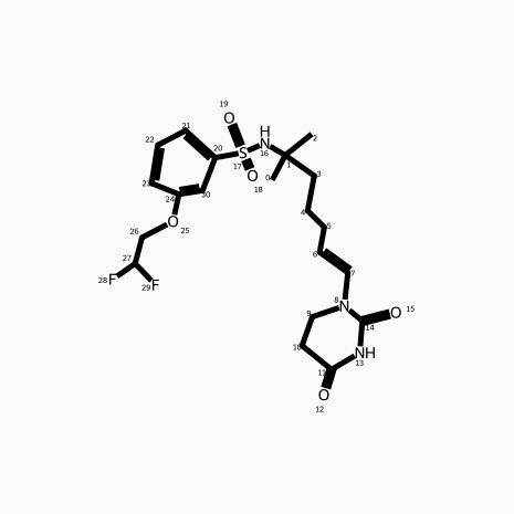 CC(C)(CCC/C=C/N1CCC(=O)NC1=O)NS(=O)(=O)c1cccc(OCC(F)F)c1